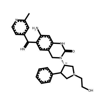 Cc1cc(C(=N)c2cc3c(cc2N)NC(=O)N([C@@H]2CN(CCO)CC2c2ccccc2)C3)ccn1